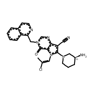 CC(Cl)=Cn1c(N2CCC[C@H](N)C2)c(C#N)c2ncn(Cc3nccc4ccccc34)c(=O)c21